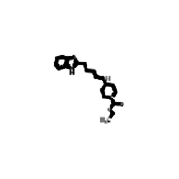 CCOC(=O)N1CCC(NCCCCc2nc3ccccc3[nH]2)CC1